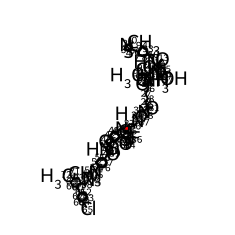 Cc1ncsc1-c1ccc(CNC(=O)[C@@H]2C[C@@H](O)CN2C(=O)[C@@H](NC(=O)CCCCC(=O)N2CCN(CCCNc3ccc(S(=O)(=O)NC(=O)c4ccc(N5CCN(CC6=C(c7ccc(Cl)cc7)CCC(C)(C)C6)CC5)cc4)cc3S(=O)(=O)C(F)(F)F)CC2)C(C)(C)C)cc1